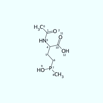 CC(=O)NC(CCP(C)O)C(=O)O